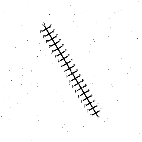 [O]C(F)(F)C(F)(F)C(F)(F)C(F)(F)C(F)(F)C(F)(F)C(F)(F)C(F)(F)C(F)(F)C(F)(F)C(F)(F)C(F)(F)C(F)(F)C(F)(F)C(F)(F)C(F)(F)C(F)(F)C(F)(F)F